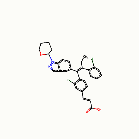 CC/C(=C(\c1ccc2c(cnn2C2CCCCO2)c1)c1ccc(C=CC(=O)O)cc1F)c1ccccc1Cl